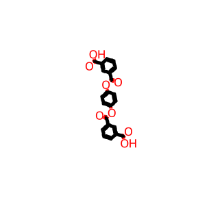 O=C(O)c1cccc(C(=O)Oc2ccc(OC(=O)c3cccc(C(=O)O)c3)cc2)c1